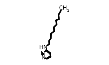 CCCCCCCCCCCCNc1cccnn1